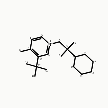 Cc1cc[n+](CC(C)(C)C2CCCCC2)cc1C(C)(C)C